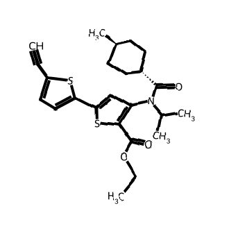 C#Cc1ccc(-c2cc(N(C(=O)[C@H]3CC[C@H](C)CC3)C(C)C)c(C(=O)OCC)s2)s1